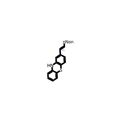 CCCCCCCCC/C=C/c1ccc2c(c1)Nc1ccccc1S2